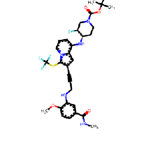 CNC(=O)c1ccc(OC)c(NCC#Cc2cc3c(N[C@@H]4CCN(C(=O)OC(C)(C)C)C[C@@H]4F)cccn3c2SC(F)(F)F)c1